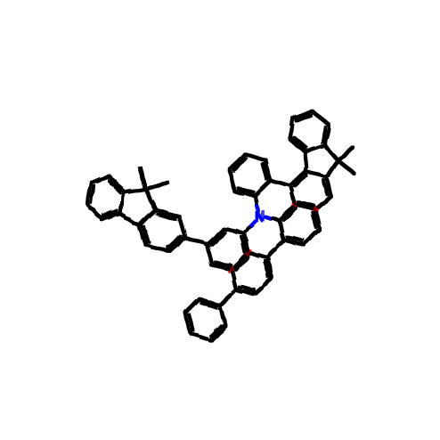 CC1(C)c2ccccc2-c2ccc(-c3cccc(N(c4ccccc4-c4ccc(-c5ccccc5)cc4)c4ccccc4-c4cccc5c4-c4ccccc4C5(C)C)c3)cc21